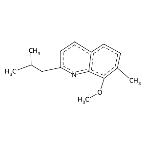 COc1c(C)ccc2ccc(CC(C)C)nc12